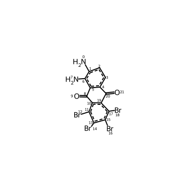 Nc1ccc2c(c1N)C(=O)c1c(Br)c(Br)c(Br)c(Br)c1C2=O